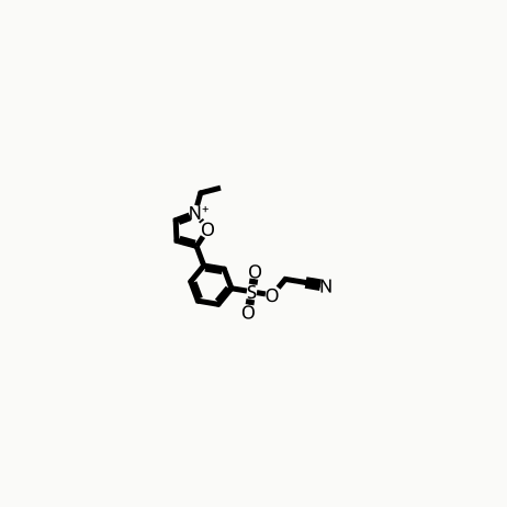 CC[n+]1ccc(-c2cccc(S(=O)(=O)OCC#N)c2)o1